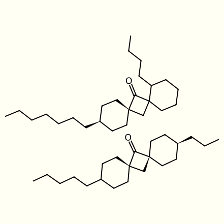 CCCCCC1CC[C@]2(CC1)C[C@@]1(CC[C@H](CCC)CC1)C2=O.CCCCCCC[C@H]1CC[C@]2(CC1)CC1(CCCCC1CCCC)C2=O